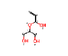 C=CC(O)OC(CO)CO